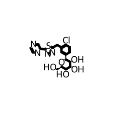 OC[C@H]1O[C@@H](c2ccc(Cl)c(Cc3nnc(-c4cnccn4)s3)c2)[C@H](O)[C@@H](O)[C@@H]1O